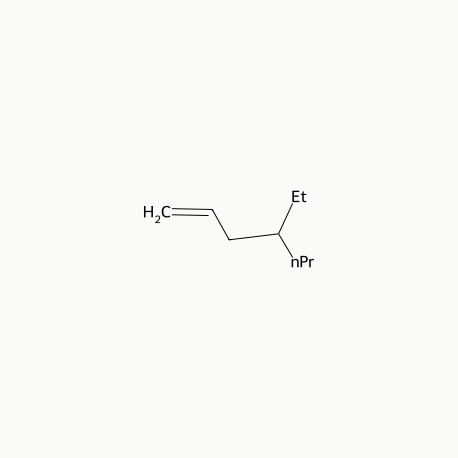 [CH2]CCC(CC)CC=C